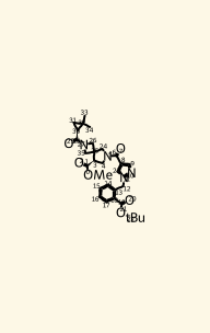 COC(=O)[C@@H]1CN(C(=O)c2cnn(Cc3ccccc3C(=O)OC(C)(C)C)c2)CC12CN(C(=O)[C@H]1CC1(C)C)C2